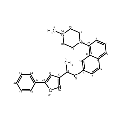 CC(Oc1ccc2cccc(N3CCN(C)CC3)c2c1)c1cc(-c2ccccc2)on1